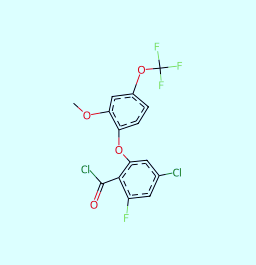 COc1cc(OC(F)(F)F)ccc1Oc1cc(Cl)cc(F)c1C(=O)Cl